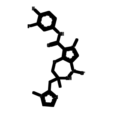 Cn1ccnc1CC1(C)COc2c(cn(C)c2C(=O)Nc2ccc(F)c(F)c2)[S+]([O-])N1